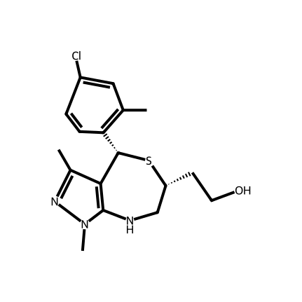 Cc1cc(Cl)ccc1[C@@H]1S[C@H](CCO)CNc2c1c(C)nn2C